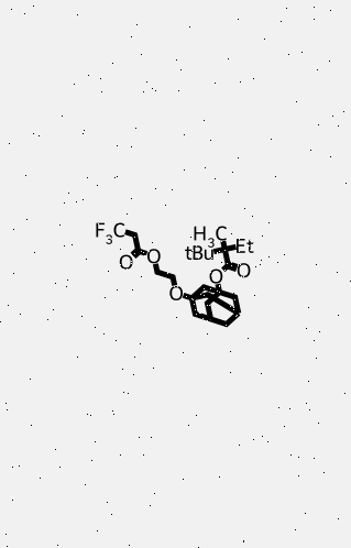 CCC(C)(C(=O)OC12CC3CC(CC(OCCOC(=O)CC(F)(F)F)(C3)C1)C2)C(C)(C)C